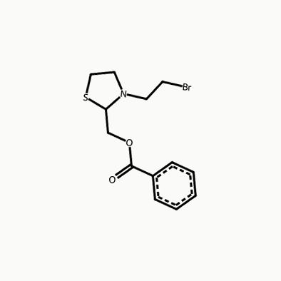 O=C(OCC1SCCN1CCBr)c1ccccc1